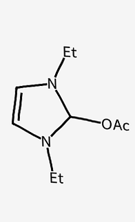 CCN1C=CN(CC)C1OC(C)=O